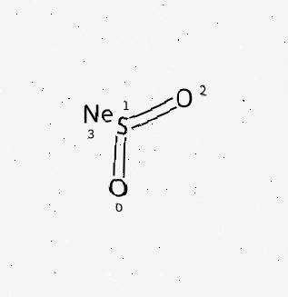 O=S=O.[Ne]